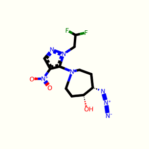 [N-]=[N+]=N[C@H]1CCN(c2c([N+](=O)[O-])cnn2CC(F)F)CC[C@H]1O